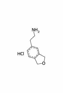 Cl.NCCc1ccc2c(c1)COC2